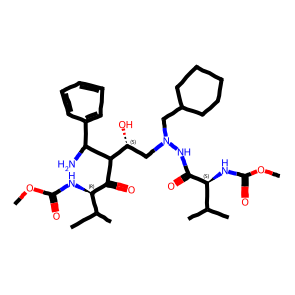 COC(=O)N[C@H](C(=O)NN(CC1CCCCC1)C[C@@H](O)C(C(=O)[C@H](NC(=O)OC)C(C)C)C(N)c1ccccc1)C(C)C